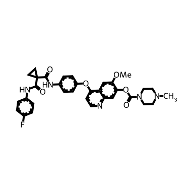 COc1cc2c(Oc3ccc(NC(=O)C4(C(=O)Nc5ccc(F)cc5)CC4)cc3)ccnc2cc1OC(=O)N1CCN(C)CC1